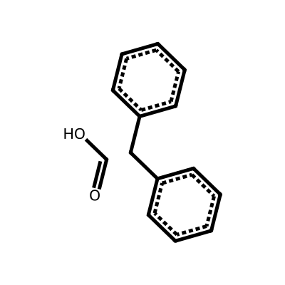 O=CO.c1ccc(Cc2ccccc2)cc1